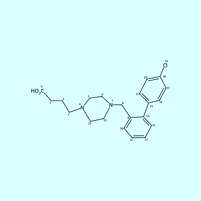 O=C(O)CCCN1CCN(Cc2ccccc2-c2ccc(Cl)cc2)CC1